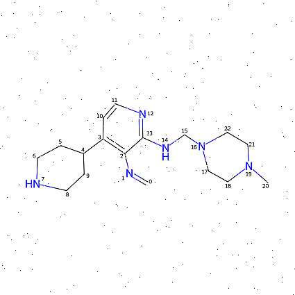 C=Nc1c(C2CCNCC2)ccnc1NCN1CCN(C)CC1